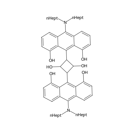 CCCCCCCN(CCCCCCC)c1c2cccc(O)c2c(C2C(O)C(c3c4c(O)cccc4c(N(CCCCCCC)CCCCCCC)c4cccc(O)c34)C2O)c2c(O)cccc12